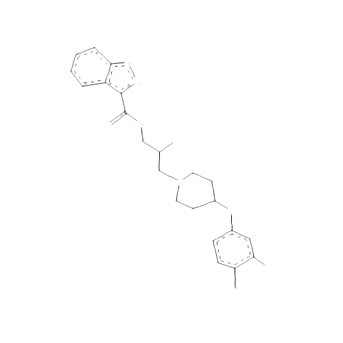 O=C(NCC(O)CN1CCC(Oc2ccc(Cl)c(Cl)c2)CC1)c1n[nH]c2ccccc12